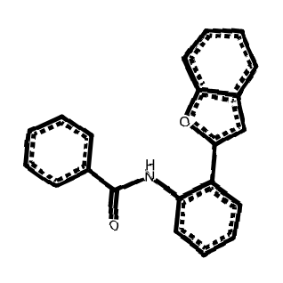 O=C(Nc1ccccc1-c1cc2ccccc2o1)c1ccccc1